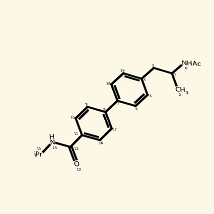 CC(=O)NC(C)Cc1ccc(-c2ccc(C(=O)NC(C)C)cc2)cc1